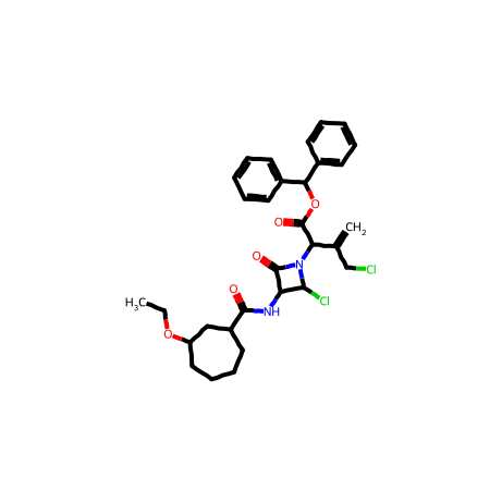 C=C(CCl)C(C(=O)OC(c1ccccc1)c1ccccc1)N1C(=O)C(NC(=O)C2CCCCC(OCC)C2)C1Cl